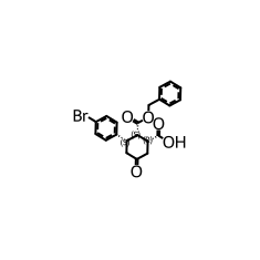 O=C1C[C@H](c2ccc(Br)cc2)[C@H](C(=O)OCc2ccccc2)[C@H](C(=O)O)C1